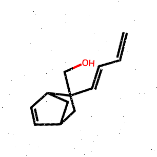 C=CC=CC1(CO)CC2C=CC1C2